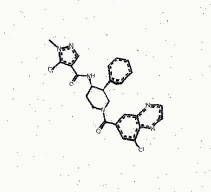 Cn1ncc(C(=O)N[C@@H]2CCN(C(=O)c3cc(Cl)c4nccnc4c3)C[C@@H]2c2ccccc2)c1Cl